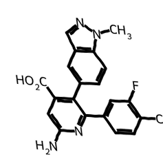 Cn1ncc2cc(-c3c(C(=O)O)cc(N)nc3-c3ccc(C#N)c(F)c3)ccc21